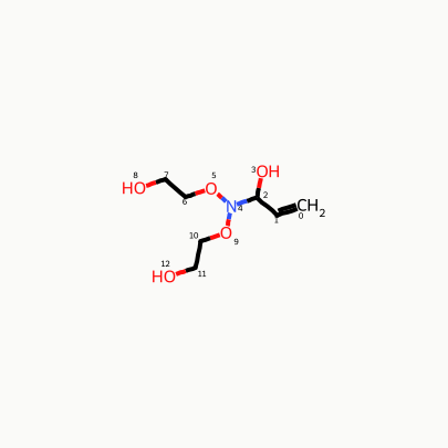 C=CC(O)N(OCCO)OCCO